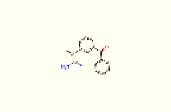 C[C@H](C(=N)N)c1cccc(C(=O)c2ccccc2)c1